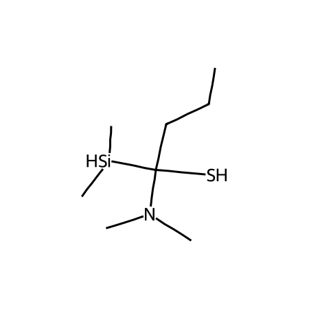 CCCC(S)(N(C)C)[SiH](C)C